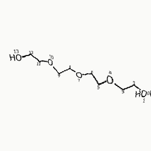 C.OCCOCCOCCOCCO